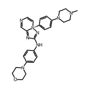 CN1CCN(c2ccc([N+]34C=CN=CC3=NC(Nc3ccc(N5CCOCC5)cc3)=N4)cc2)CC1